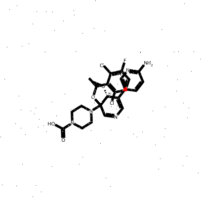 CO[C@@H]1C(c2ccc(N)nc2)=CN=CC1(OC(C)c1c(Cl)ccc(F)c1Cl)N1CCN(C(=O)O)CC1